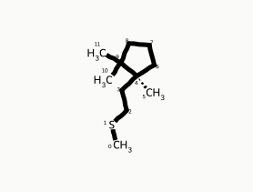 CSCC[C@]1(C)CCCC1(C)C